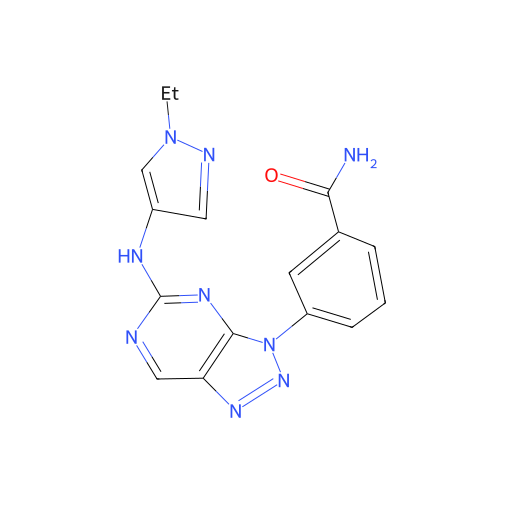 CCn1cc(Nc2ncc3nnn(-c4cccc(C(N)=O)c4)c3n2)cn1